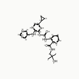 CC(C)(O)CNC(=O)c1ncccc1NC(=O)Oc1nc(C2CC2)cnc1Nc1cncnc1